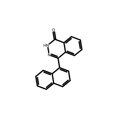 O=c1[nH]nc(-c2cccc3ccccc23)c2ccccc12